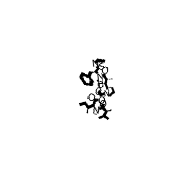 CC[C@H](C)[C@@H]([C@H](OC)OC(=O)N1CCC[C@H]1[C@H](OC)[C@@H](C)C(=O)N[C@@H](Cc1ccccc1)c1nccs1)N(C)C(=O)[C@@H](C)C(C)C